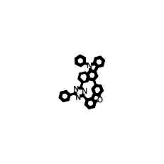 C1=CC(c2nc(-c3ccccc3)nc(-c3cccc4oc5ccc(-c6ccc7c(c6)c6ccccc6n7-c6ccccc6)cc5c34)n2)=CCC1